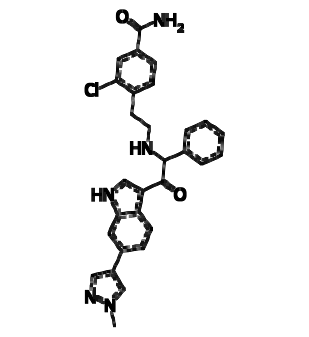 Cn1cc(-c2ccc3c(C(=O)C(NCCc4ccc(C(N)=O)cc4Cl)c4ccccc4)c[nH]c3c2)cn1